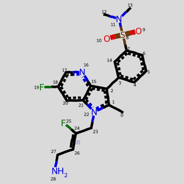 Cc1c(-c2cccc(S(=O)(=O)N(C)C)c2)c2ncc(F)cc2n1C/C(F)=C/CN